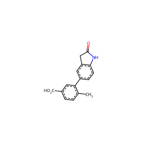 Cc1ccc(C(=O)O)cc1-c1ccc2c(c1)CC(=O)N2